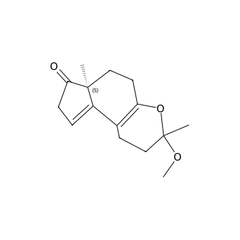 COC1(C)CCC2=C(CC[C@]3(C)C(=O)CC=C23)O1